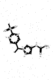 CC(c1cnc(S(C)(=O)=O)nc1)n1cc(OC(N)=O)cn1